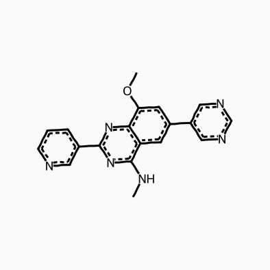 CNc1nc(-c2cccnc2)nc2c(OC)cc(-c3cncnc3)cc12